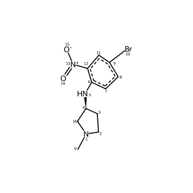 CN1CC[C@H](Nc2ccc(Br)cc2[N+](=O)[O-])C1